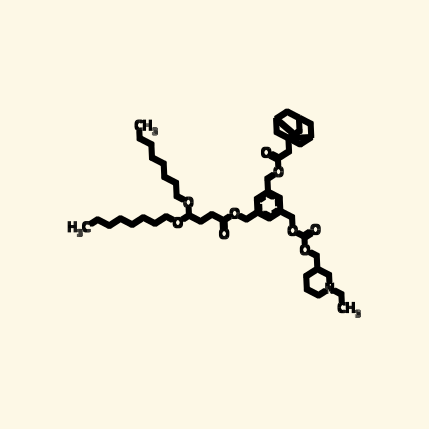 CCCCCCCCOC(CCC(=O)OCc1cc(COC(=O)CC23CC4CC(CC(C4)C2)C3)cc(COC(=O)OCC2CCCN(CC)C2)c1)OCCCCCCCC